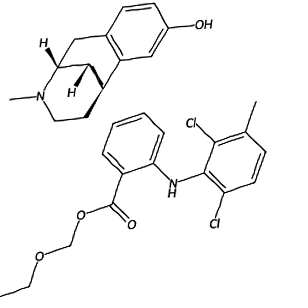 CCOCOC(=O)c1ccccc1Nc1c(Cl)ccc(C)c1Cl.CN1CC[C@]23CCCC[C@H]2[C@H]1Cc1ccc(O)cc13